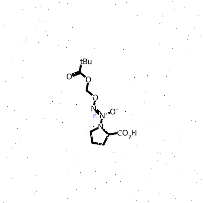 CC(C)(C)C(=O)OCO/N=[N+](\[O-])N1CCCC1C(=O)O